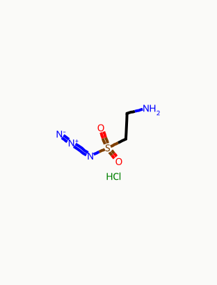 Cl.[N-]=[N+]=NS(=O)(=O)CCN